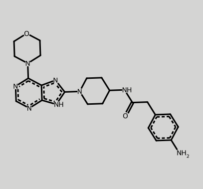 Nc1ccc(CC(=O)NC2CCN(c3nc4c(N5CCOCC5)ncnc4[nH]3)CC2)cc1